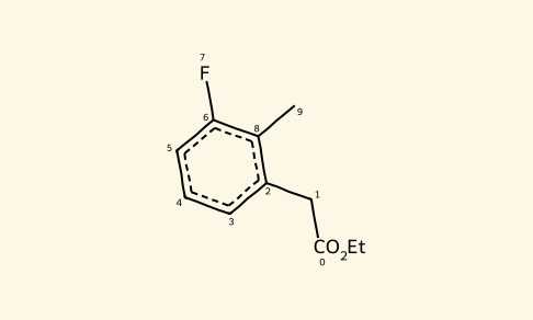 CCOC(=O)Cc1cccc(F)c1C